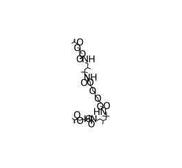 C=C(C)C(=O)OCCOC(=O)NCCC(C)CC(C)(C)CNC(=O)OCCOCCOCCOC(=O)NCC(C)(C)CC(C)CCNC(=O)OCCOC(=O)C(=C)C